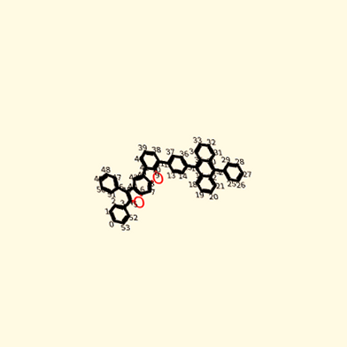 c1ccc(-c2oc3cc4oc5c(-c6ccc(-c7c8ccccc8c(-c8ccccc8)c8ccccc78)cc6)cccc5c4cc3c2-c2ccccc2)cc1